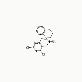 CCN1Cc2c(Cl)nc(Cl)nc2C[C@]12CCCc1ccccc12